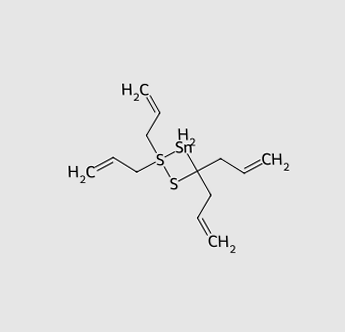 C=CC[C]1(CC=C)S[S](CC=C)(CC=C)[SnH2]1